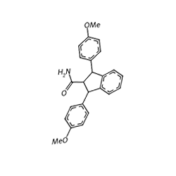 COc1ccc(C2c3ccccc3C(c3ccc(OC)cc3)C2C(N)=O)cc1